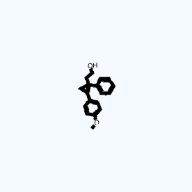 COc1ccc(C2CC2(CCO)c2ccccc2)cc1